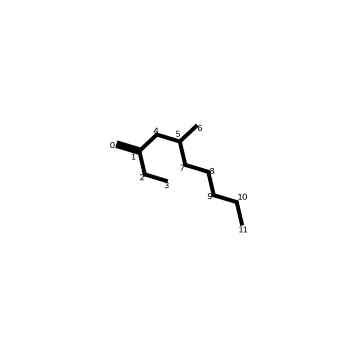 C=C(CC)CC(C)CCCCC